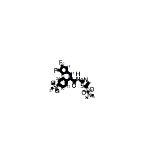 CN(C)S(=O)(=O)c1cnc(NC(=O)/C(=C/C2CC(F)C(F)C2)c2ccc(S(C)(=O)=O)cc2)s1